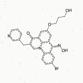 O=c1c(Cc2cccnc2)cn2c3ccc(Br)cc3c(=NO)c3cc(OCCCO)cc1c32